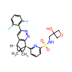 CC1(C)[C@H]2CC[C@@]1(c1cccc(S(=O)(=O)NCC3(O)COC3)n1)c1nnc(-c3c(F)cccc3F)cc12